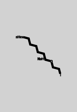 CCCCCCCCCCCCOCCI.[NaH]